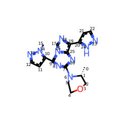 C[C@@H]1COCCN1c1nc(-c2ccnn2C)n2cnc(-c3ccn[nH]3)c2n1